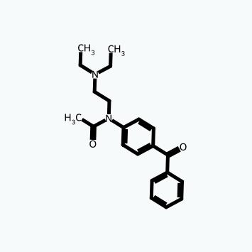 CCN(CC)CCN(C(C)=O)c1ccc(C(=O)c2ccccc2)cc1